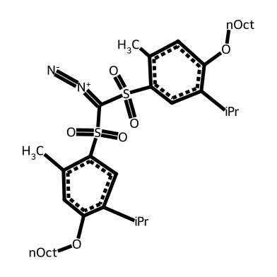 CCCCCCCCOc1cc(C)c(S(=O)(=O)C(=[N+]=[N-])S(=O)(=O)c2cc(C(C)C)c(OCCCCCCCC)cc2C)cc1C(C)C